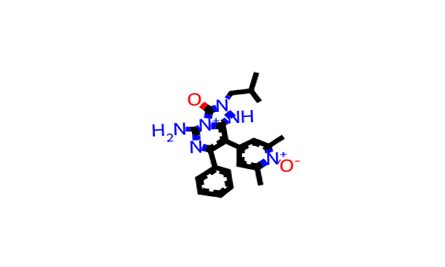 Cc1cc(-c2c(-c3ccccc3)nc(N)[n+]3c(=O)n(CC(C)C)[nH]c23)cc(C)[n+]1[O-]